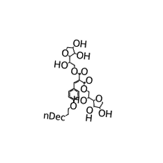 CCCCCCCCCCCCOc1ccc(C=C(C(=O)OCC(O)C2OCC(O)C2O)C(=O)OCC(O)C2OCC(O)C2O)cc1